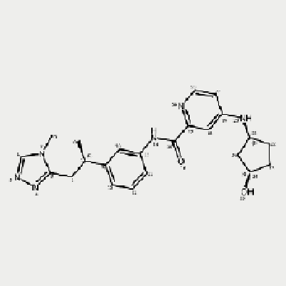 C[C@H](Cc1nncn1C)c1cccc(NC(=O)c2cc(N[C@H]3CC[C@@H](O)C3)ccn2)c1